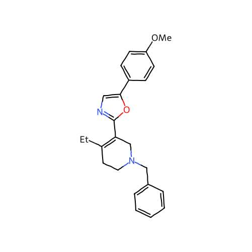 CCC1=C(c2ncc(-c3ccc(OC)cc3)o2)CN(Cc2ccccc2)CC1